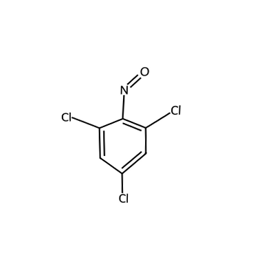 O=Nc1c(Cl)cc(Cl)cc1Cl